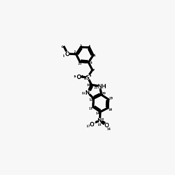 COc1cccc(C[S+]([O-])c2nc3cc([N+](=O)[O-])ccc3[nH]2)c1